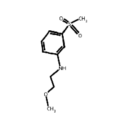 COCCNc1cccc(S(C)(=O)=O)c1